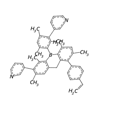 C=Cc1ccc(-c2c(C)cc(C)c3c2Cc2cc(C)c(-c4cccnc4)c(C)c2B3c2c(C)cc(C)c(-c3cccnc3)c2C)cc1